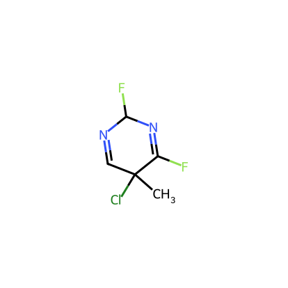 CC1(Cl)C=NC(F)N=C1F